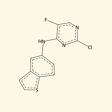 Fc1cnc(Cl)nc1Nc1ccc2sccc2c1